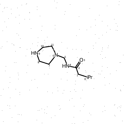 CC(C)CC(=O)NCN1CCNCC1